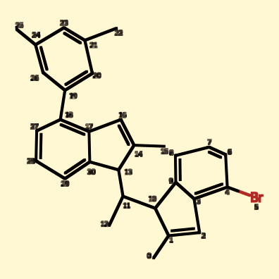 CC1=Cc2c(Br)cccc2C1C(C)C1C(C)=Cc2c(-c3cc(C)cc(C)c3)cccc21